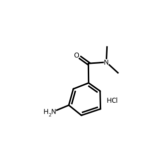 CN(C)C(=O)c1cccc(N)c1.Cl